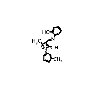 Cc1cccc(-n2nc(C)c(/C=N/c3ccccc3O)c2O)c1